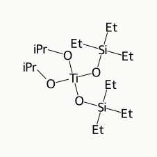 CC[Si](CC)(CC)[O][Ti]([O]C(C)C)([O]C(C)C)[O][Si](CC)(CC)CC